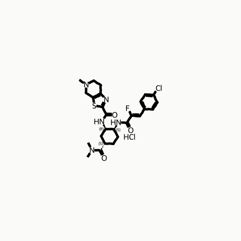 CN1CCc2nc(C(=O)N[C@@H]3C[C@@H](C(=O)N(C)C)CC[C@@H]3NC(=O)C(F)=Cc3ccc(Cl)cc3)sc2C1.Cl